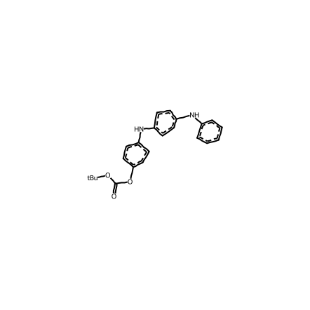 CC(C)(C)OC(=O)Oc1ccc(Nc2ccc(Nc3ccccc3)cc2)cc1